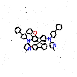 Cc1ccc(N(c2ccc(-c3ccccc3)cc2)c2ccc3c(c2)C2(c4ccccc4-c4ccccc42)c2cc(N(c4ccc(-c5ccccc5)cc4)c4ccc(C)nc4)c4c(oc5ccccc54)c2-3)cn1